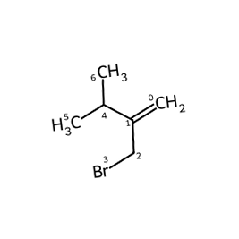 C=C(CBr)C(C)C